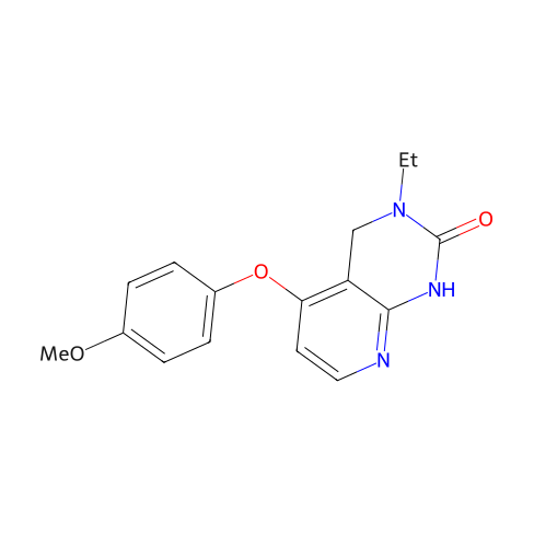 CCN1Cc2c(Oc3ccc(OC)cc3)ccnc2NC1=O